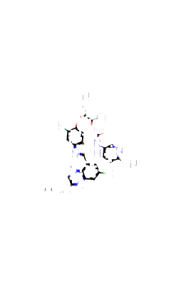 COc1cnc2c(-c3nc4cc(F)c(O[C@@H](C)[C@@H](C)OC(=O)Nc5ccc(C#N)nc5)cc4s3)cc(Cl)cc2n1